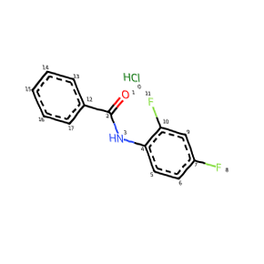 Cl.O=C(Nc1ccc(F)cc1F)c1ccccc1